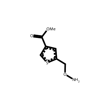 COC(=O)c1csc(CON)c1